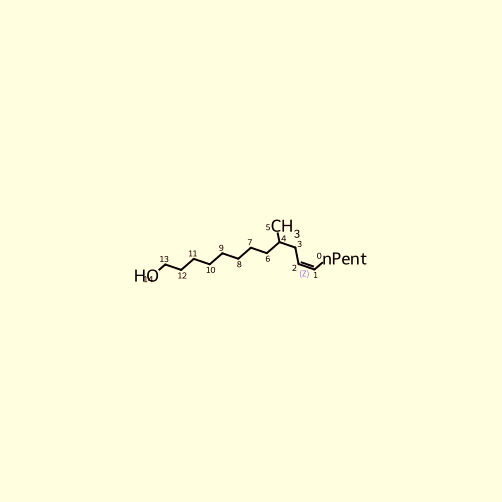 CCCCC/C=C\CC(C)CCCCCCCCO